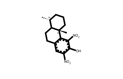 C[C@@H]1CCC[C@]2(C)c3c(cc([N+](=O)[O-])c(O)c3[N+](=O)[O-])CCC12